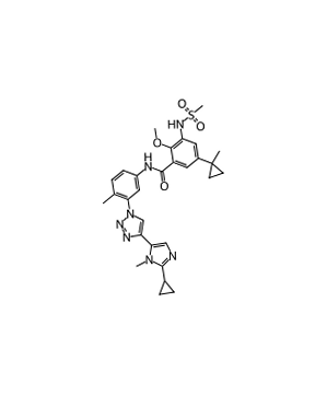 COc1c(NS(C)(=O)=O)cc(C2(C)CC2)cc1C(=O)Nc1ccc(C)c(-n2cc(-c3cnc(C4CC4)n3C)nn2)c1